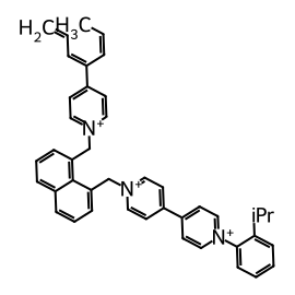 C=C/C=C(\C=C/C)c1cc[n+](Cc2cccc3cccc(C[n+]4ccc(-c5cc[n+](-c6ccccc6C(C)C)cc5)cc4)c23)cc1